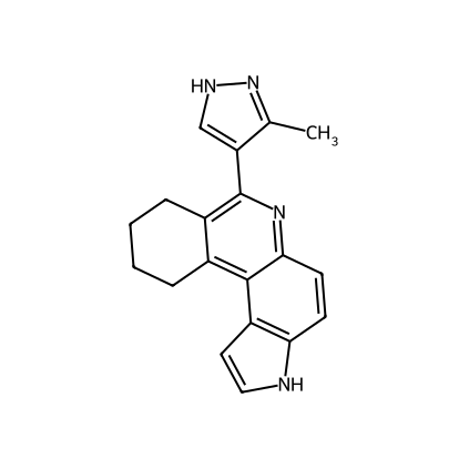 Cc1n[nH]cc1-c1nc2ccc3[nH]ccc3c2c2c1CCCC2